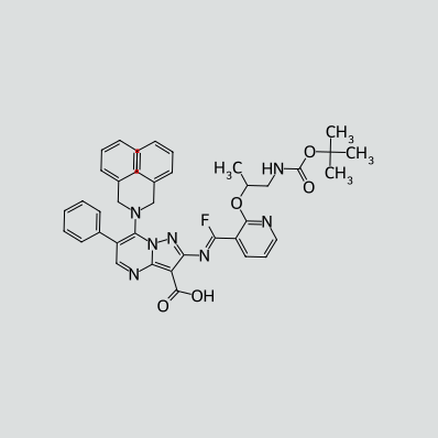 CC(CNC(=O)OC(C)(C)C)Oc1ncccc1C(F)=Nc1nn2c(N(Cc3ccccc3)Cc3ccccc3)c(-c3ccccc3)cnc2c1C(=O)O